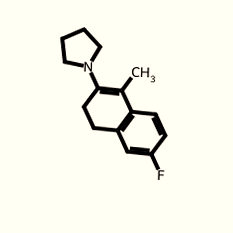 CC1=C(N2CCCC2)CCc2cc(F)ccc21